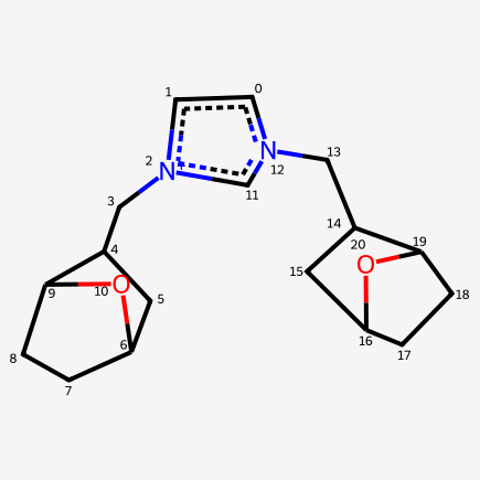 c1c[n+](CC2CC3CCC2O3)cn1CC1CC2CCC1O2